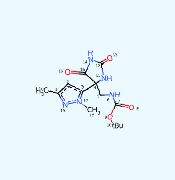 Cc1cc(C2(CNC(=O)OC(C)(C)C)NC(=O)NC2=O)n(C)n1